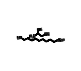 CC(O)CO.CCCCCCCCCCCCCCCCCCO